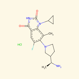 Cc1c(N2CCC([C@H](C)N)C2)c(F)cc2c(=O)[nH]c(=O)n(C3CC3)c12.Cl